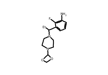 CCC(c1cccc(N)c1F)N1CCN(C2OCO2)CC1